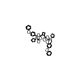 O=C(OC(=O)N(Cc1ccc(Oc2ccccc2)cc1)C1CCCC1)C1CCC1C(=O)OC(=O)N(Cc1ccc(Oc2ccccc2)cc1)C1CCCC1